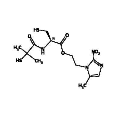 Cc1cnc([N+](=O)[O-])n1CCOC(=O)[C@H](CS)NC(=O)C(C)(C)S